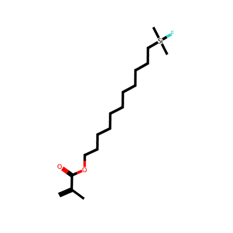 C=C(C)C(=O)OCCCCCCCCCCC[Si](C)(C)F